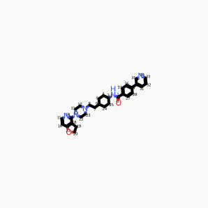 O=C(NC1CCC(CCN2CCN(c3nccc4c3CCO4)CC2)CC1)c1ccc(-c2cccnc2)cc1